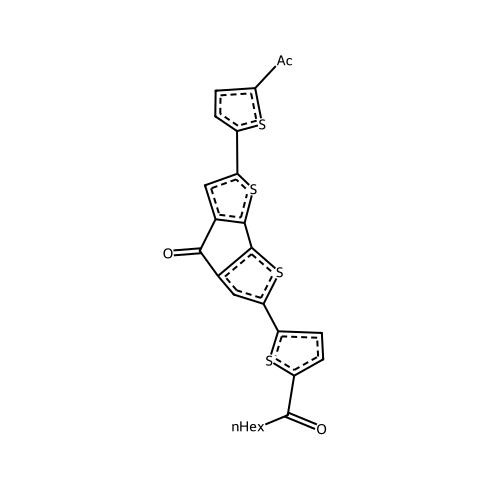 CCCCCCC(=O)c1ccc(-c2cc3c(s2)-c2sc(-c4ccc(C(C)=O)s4)cc2C3=O)s1